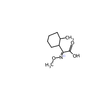 CO/N=C(/C(=O)O)C1CCCCC1C